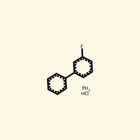 Cl.Fc1cccc(-c2ccccc2)c1.P